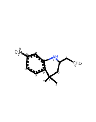 CC1(C)CC(CC=O)Nc2cc([N+](=O)[O-])ccc21